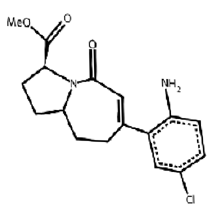 COC(=O)[C@@H]1CCC2CCC(c3cc(Cl)ccc3N)=CC(=O)N21